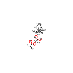 C=C(C)C(=O)OC(C)(C)C(=O)OCC(C)C12CC3CC(CC(C3)C1)C2